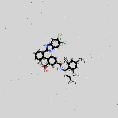 CCC[C@H](NC(=O)c1ccc(-c2c(Cl)cccc2-c2nc3cc(Cl)c(F)cc3[nH]2)c(C(=O)O)c1)c1c(C)cc(C)cc1C